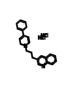 C1=CCC(C2=CCN(CCCc3cnc4ccccc4c3)C=C2)=CC1.Cl.Cl